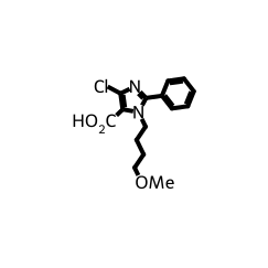 COCCCCn1c(-c2ccccc2)nc(Cl)c1C(=O)O